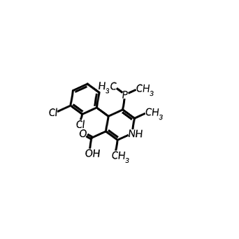 CC1=C(C(=O)O)C(c2cccc(Cl)c2Cl)C(P(C)C)=C(C)N1